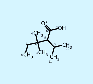 CCC(C)(C)C(C(=O)O)C(C)C